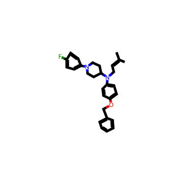 CC(C)=CCN(c1ccc(OCc2ccccc2)cc1)C1CCN(c2ccc(F)cc2)CC1